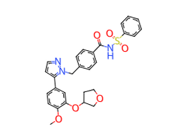 COc1ccc(-c2ccnn2Cc2ccc(C(=O)NS(=O)(=O)c3ccccc3)cc2)cc1OC1CCOC1